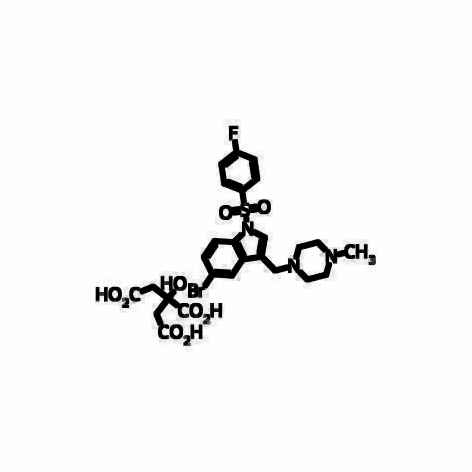 CN1CCN(Cc2cn(S(=O)(=O)c3ccc(F)cc3)c3ccc(Br)cc23)CC1.O=C(O)CC(O)(CC(=O)O)C(=O)O